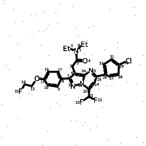 CCN(CC)C(=O)Cc1c(-c2ccc(OCCF)cc2)nn2c(C(F)F)cc(-c3ccc(Cl)cc3)nc12